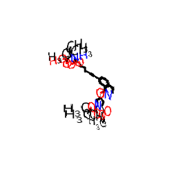 CCOC(=O)[C@@H]1C[C@@H](Oc2nccc3ccc(C#CCCCOC(=O)N[C@H](C(=O)O)C(C)(C)C)cc23)CN1C(=O)OC(C)(C)C